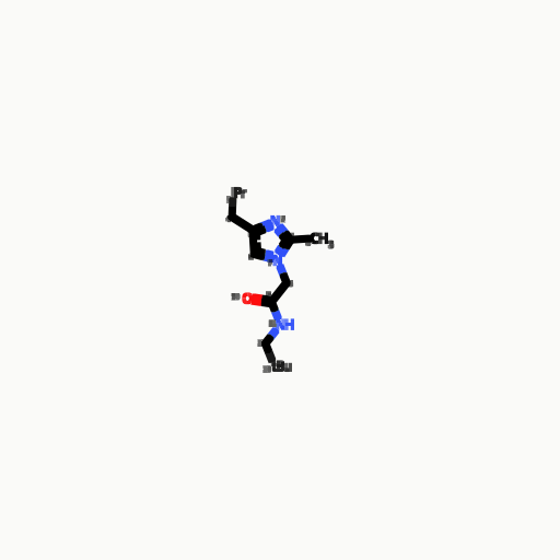 Cc1nc(CC(C)C)cn1CC(=O)NCC(C)(C)C